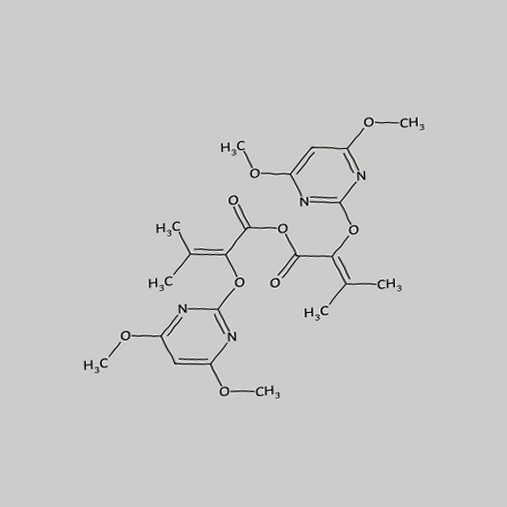 COc1cc(OC)nc(OC(C(=O)OC(=O)C(Oc2nc(OC)cc(OC)n2)=C(C)C)=C(C)C)n1